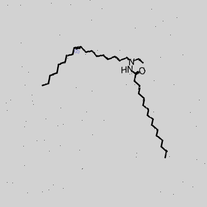 CCCCCCCC/C=C\CCCCCCCCN(CC)NC(=O)CCCCCCCCCCCCCCC